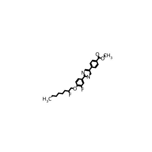 CCCCCCC(F)COc1ccc(-c2ncc(-c3ccc(C(=O)OC)cc3)cn2)cc1F